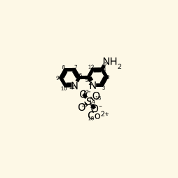 Nc1ccnc(-c2ccccn2)c1.O=S(=O)([O-])[O-].[Co+2]